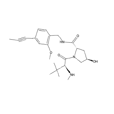 CC#Cc1ccc(CNC(=O)[C@@H]2C[C@@H](O)CN2C(=O)[C@@H](NC)C(C)(C)C)c(OC)c1